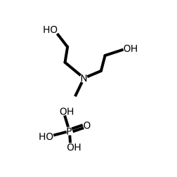 CN(CCO)CCO.O=P(O)(O)O